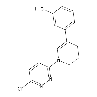 Cc1cccc(C2=CN(c3ccc(Cl)nn3)CCC2)c1